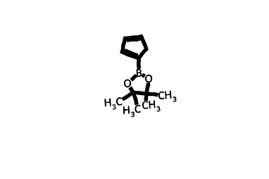 CC1(C)OB(C2=CC=CC2)OC1(C)C